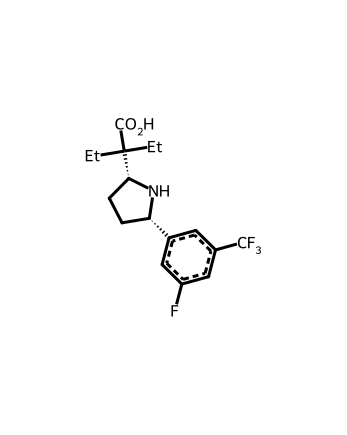 CCC(CC)(C(=O)O)[C@H]1CC[C@@H](c2cc(F)cc(C(F)(F)F)c2)N1